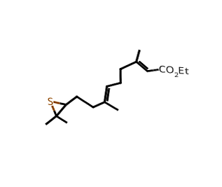 CCOC(=O)C=C(C)CCC=C(C)CCC1SC1(C)C